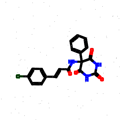 O=C(C=Cc1ccc(Cl)cc1)NC1(c2ccccc2)C(=O)NC(=O)NC1=O